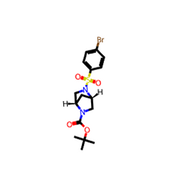 CC(C)(C)OC(=O)N1C[C@@H]2C[C@H]1CN2S(=O)(=O)c1ccc(Br)cc1